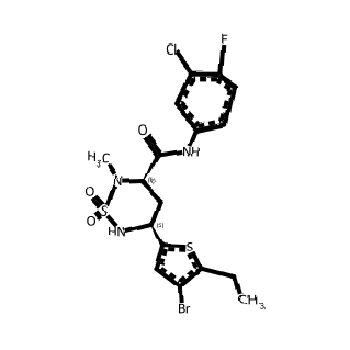 CCc1sc([C@@H]2C[C@H](C(=O)Nc3ccc(F)c(Cl)c3)N(C)S(=O)(=O)N2)cc1Br